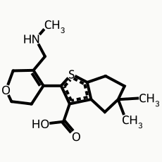 CNCC1=C(c2sc3c(c2C(=O)O)CC(C)(C)CC3)CCOC1